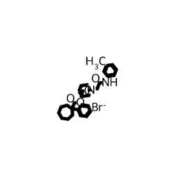 Cc1cccc(NC(=O)C[N+]23CCC(CC2)C(OC(=O)C2(c4ccccc4)CCCCCC2)C3)c1.[Br-]